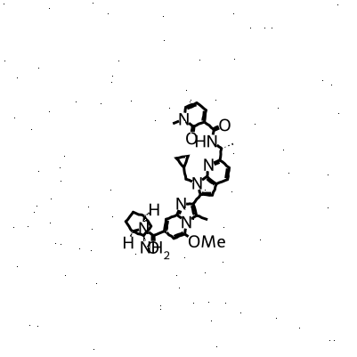 COc1cc(C(=O)N2[C@H]3CC[C@@H]2[C@H](N)C3)cc2nc(-c3cc4ccc([C@@H](C)NC(=O)c5cccn(C)c5=O)nc4n3CC3CC3)c(C)n12